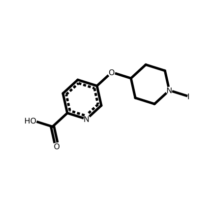 O=C(O)c1ccc(OC2CCN(I)CC2)cn1